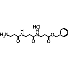 Cl.NCCC(=O)NCCC(=O)NCCC(=O)OCc1ccccc1